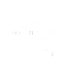 Oc1cccc2cc(-c3ccccc3)c(-c3ccc(F)cc3)nc12